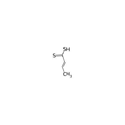 C/C=C/C(=S)S